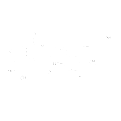 CC[C@@]1(O)C(=O)OCc2c1cc1n(c2=O)Cc2cc3c(CCCO)c(C)c(F)cc3[n+]([O-])c2-1